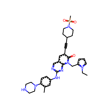 CCn1cccc1Cn1c(=O)c(C#CC2CCN(S(C)(=O)=O)CC2)cc2cnc(Nc3ccc(N4CCNCC4)c(C)c3)nc21